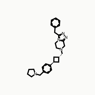 c1ccc(Cc2nnc3n2CCN(C[C@H]2C[C@H](c4ccc(CN5CCCC5)cc4)C2)C3)cc1